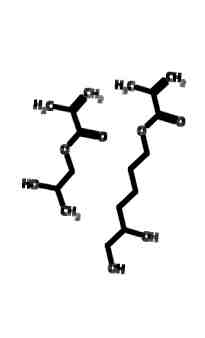 C=C(C)C(=O)OCC(C)O.C=C(C)C(=O)OCCCCC(O)CO